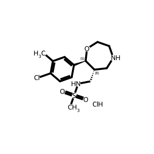 Cc1cc([C@H]2OCCNC[C@@H]2CNS(C)(=O)=O)ccc1Cl.Cl